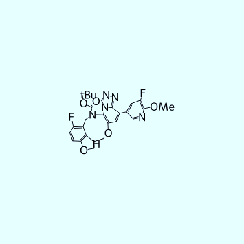 COc1ncc(-c2cc3c(n4cnnc24)N(C(=O)OC(C)(C)C)Cc2c(F)ccc4c2[C@H](CO4)CO3)cc1F